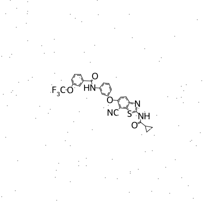 N#Cc1c(Oc2cccc(NC(=O)c3cccc(OC(F)(F)F)c3)c2)ccc2nc(NC(=O)C3CC3)sc12